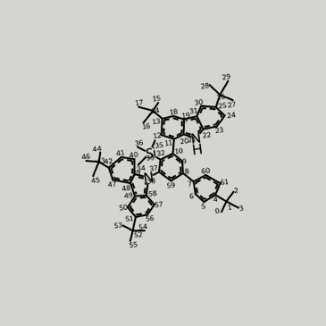 CC(C)(C)c1ccc(-c2cc(-c3cc(C(C)(C)C)cc4c3[nH]c3ccc(C(C)(C)C)cc34)c([Si](C)(C)C)c(-n3c4ccc(C(C)(C)C)cc4c4cc(C(C)(C)C)ccc43)c2)cc1